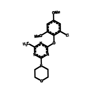 COc1cc(Cl)c(Oc2nc(C)nc(N3CCOCC3)n2)c(OC)c1